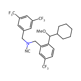 [C-]#[N+]N(Cc1cc(C(F)(F)F)cc(C(F)(F)F)c1)Cc1cc(C(F)(F)F)ccc1C(OC)C1CCCCC1